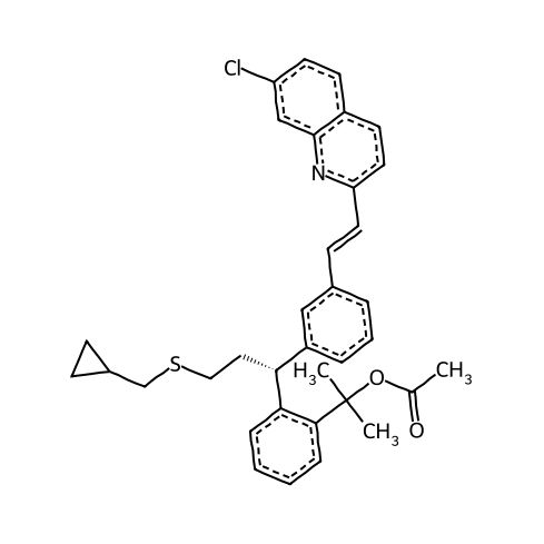 CC(=O)OC(C)(C)c1ccccc1[C@H](CCSCC1CC1)c1cccc(C=Cc2ccc3ccc(Cl)cc3n2)c1